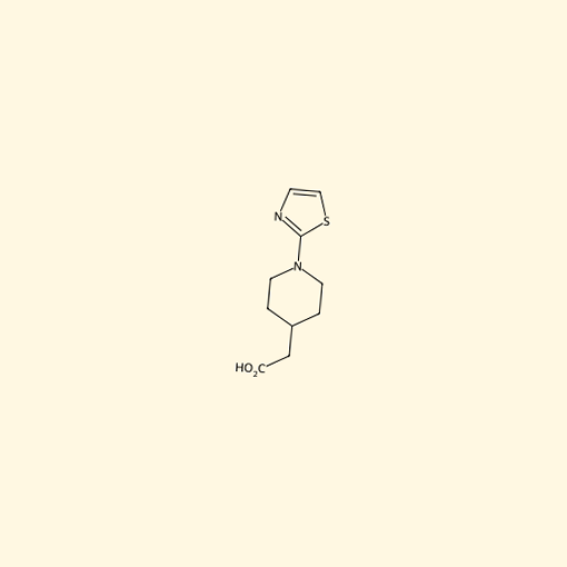 O=C(O)CC1CCN(c2nccs2)CC1